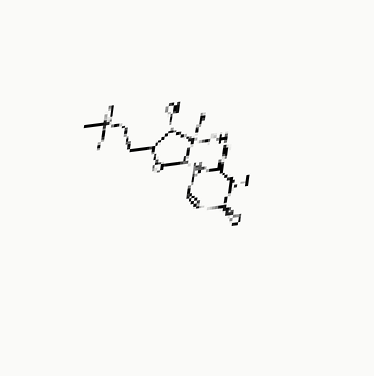 C=C1NC(=O)C=CN1[C@@H]1OC(CCP(=C)(C)C)[C@@H](O)[C@]1(C)O